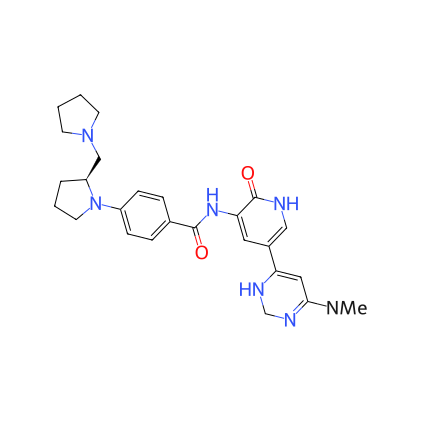 CNC1=NCNC(c2c[nH]c(=O)c(NC(=O)c3ccc(N4CCC[C@H]4CN4CCCC4)cc3)c2)=C1